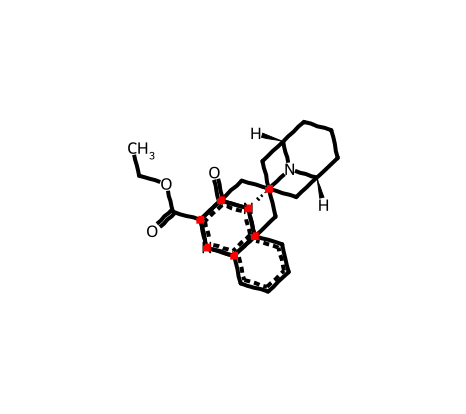 CCOC(=O)c1nc2ccccc2n([C@H]2C[C@H]3CCC[C@@H](C2)N3C2CC3CCCC(C3)C2)c1=O